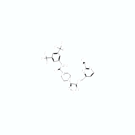 [C-]#[N+]c1nccc(COc2nsnc2N2CCN(C(=O)Nc3cc(C(F)(F)F)cc(C(F)(F)F)c3)CC2)n1